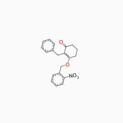 O=C1CCCC(OCc2ccccc2[N+](=O)[O-])=C1Cc1ccccc1